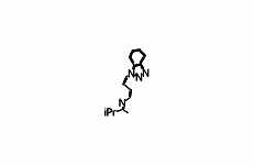 C\C(=N/C=C\C=C/n1nnc2ccccc21)C(C)C